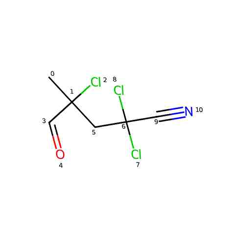 CC(Cl)(C=O)CC(Cl)(Cl)C#N